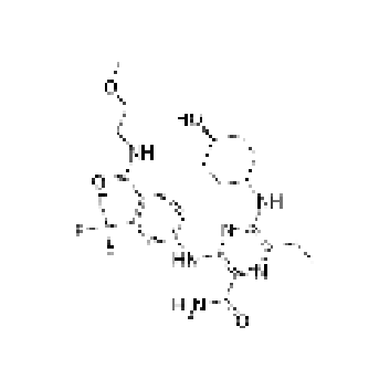 CCc1nc(C(N)=O)c(Nc2ccc(C(=O)NCCOC)c(C(F)(F)F)c2)nc1N[C@H]1CC[C@H](O)CC1